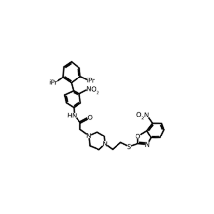 CC(C)c1cccc(C(C)C)c1-c1ccc(NC(=O)CN2CCN(CCSc3nc4cccc([N+](=O)[O-])c4o3)CC2)cc1[N+](=O)[O-]